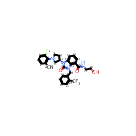 N#Cc1cccc(F)c1N1CC[C@@H](n2c(=O)n(Cc3ccccc3C(F)(F)F)c3c(C(=O)NCCO)cccc32)C1